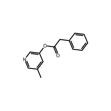 Cc1cncc(OC(=O)Cc2ccccc2)c1